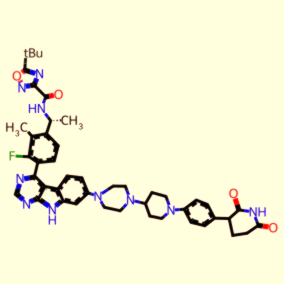 Cc1c([C@@H](C)NC(=O)c2noc(C(C)(C)C)n2)ccc(-c2ncnc3[nH]c4cc(N5CCN(C6CCN(c7ccc(C8CCC(=O)NC8=O)cc7)CC6)CC5)ccc4c23)c1F